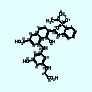 CN(C)S(=O)(=O)c1ccccc1N=Nc1ccc2cc(S(=O)(=O)O)cc(Nc3nc(O)nc(NCC(=O)O)n3)c2c1O